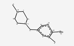 Cc1cc(CN2CCN(C)CC2)cnc1C(C)(C)C